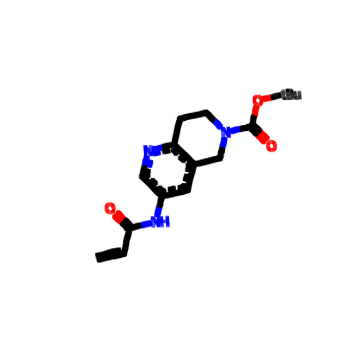 C=CC(=O)Nc1cnc2c(c1)CN(C(=O)OC(C)(C)C)CC2